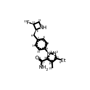 CCc1nn(-c2ccc(C[C@@H]3NC[C@@H]3F)cc2)c(C(N)=O)c1C